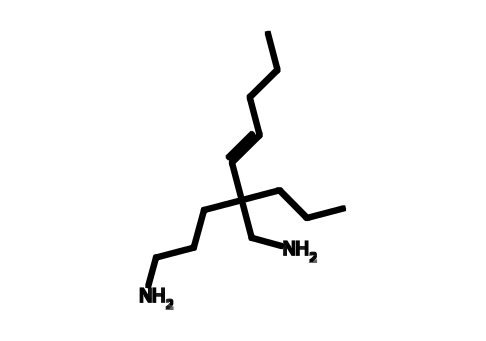 CCCC=CC(CN)(CCC)CCCN